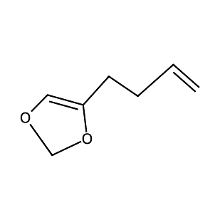 C=CCCC1=COCO1